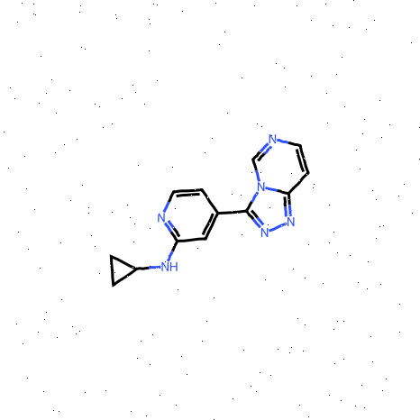 c1cc2nnc(-c3ccnc(NC4CC4)c3)n2cn1